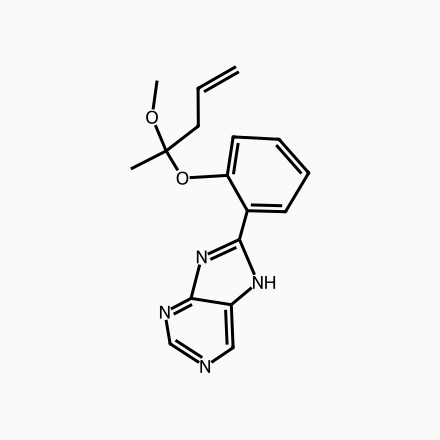 C=CCC(C)(OC)Oc1ccccc1-c1nc2ncncc2[nH]1